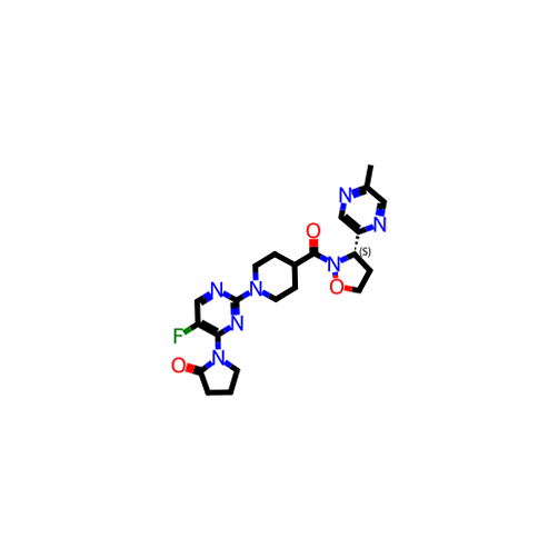 Cc1cnc([C@@H]2CCON2C(=O)C2CCN(c3ncc(F)c(N4CCCC4=O)n3)CC2)cn1